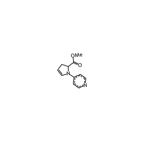 COC(=O)C1CC=CN1c1ccncc1